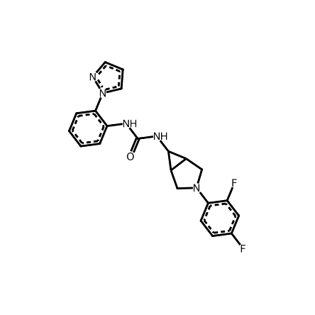 O=C(Nc1ccccc1-n1cccn1)NC1C2CN(c3ccc(F)cc3F)CC21